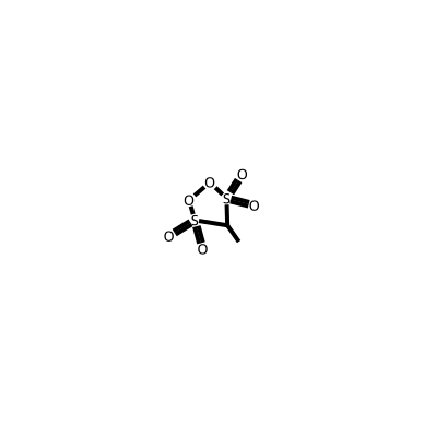 CC1S(=O)(=O)OOS1(=O)=O